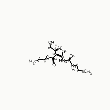 CCCNC(=O)Nc1onc(CC)c1C(=O)OCCC